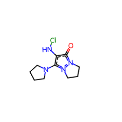 O=c1c(NCl)c(N2CCCC2)n2n1CCC2